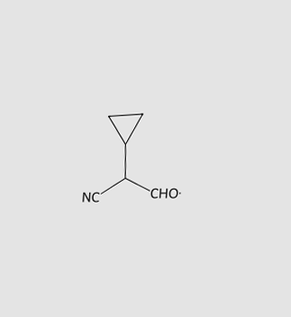 N#CC([C]=O)C1CC1